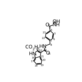 O=C(NO)c1ccc(CNC(=O)c2c(C(=O)O)[nH]c3ccccc23)cc1